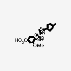 COc1cc(C(=O)O)ccc1NS(=O)(=O)c1csc(-c2ccc(C)cc2)n1